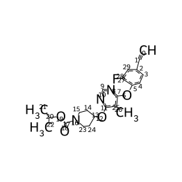 C#Cc1ccc(Oc2ncnc(OC3CCN(C(=O)OC(C)C)CC3)c2C)c(F)c1